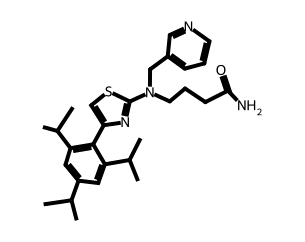 CC(C)c1cc(C(C)C)c(-c2csc(N(CCCC(N)=O)Cc3cccnc3)n2)c(C(C)C)c1